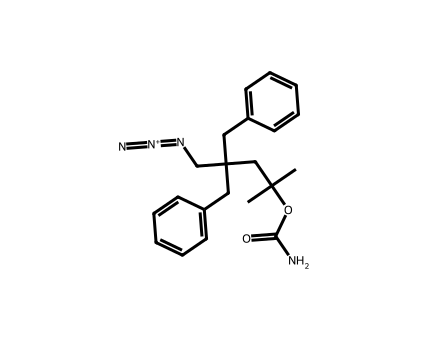 CC(C)(CC(CN=[N+]=[N-])(Cc1ccccc1)Cc1ccccc1)OC(N)=O